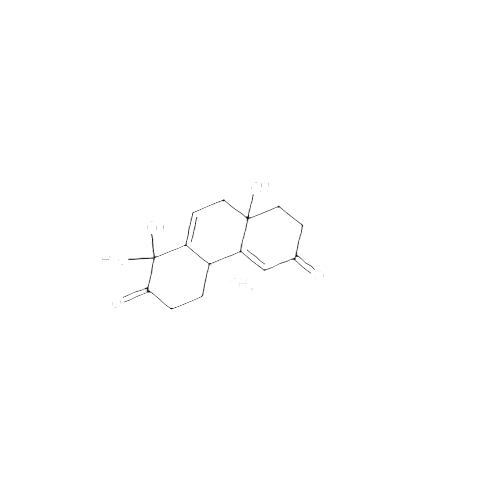 CC12CC=C3C(C)(C)C(=O)CC[C@]3(C)C1=CC(=O)CC2